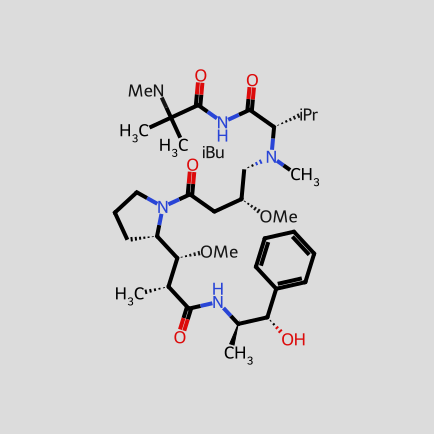 CC[C@H](C)[C@@H]([C@@H](CC(=O)N1CCC[C@H]1[C@H](OC)[C@@H](C)C(=O)N[C@H](C)[C@@H](O)c1ccccc1)OC)N(C)[C@H](C(=O)NC(=O)C(C)(C)NC)C(C)C